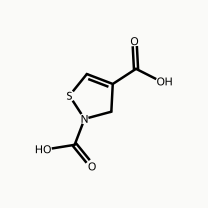 O=C(O)C1=CSN(C(=O)O)C1